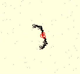 C[Si](C)(C)CCC[Si](C)(C)CCCCOC(=O)OCCCC[Si](C)(C)CCC[Si](C)(C)C